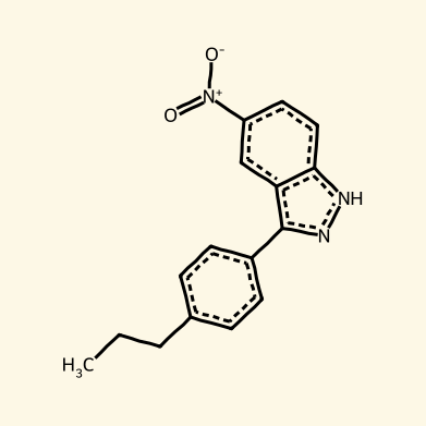 CCCc1ccc(-c2n[nH]c3ccc([N+](=O)[O-])cc23)cc1